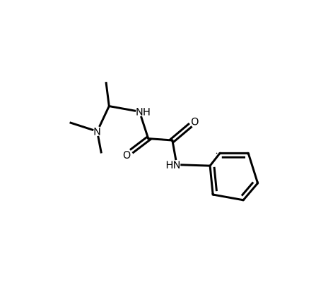 CC(NC(=O)C(=O)Nc1[c]cccc1)N(C)C